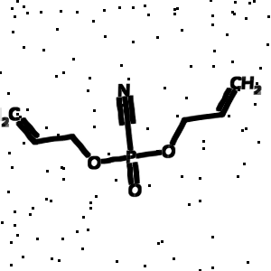 C=CCOP(=O)(C#N)OCC=C